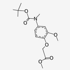 COC(=O)COc1ccc(N(C)C(=O)OC(C)(C)C)cc1OC